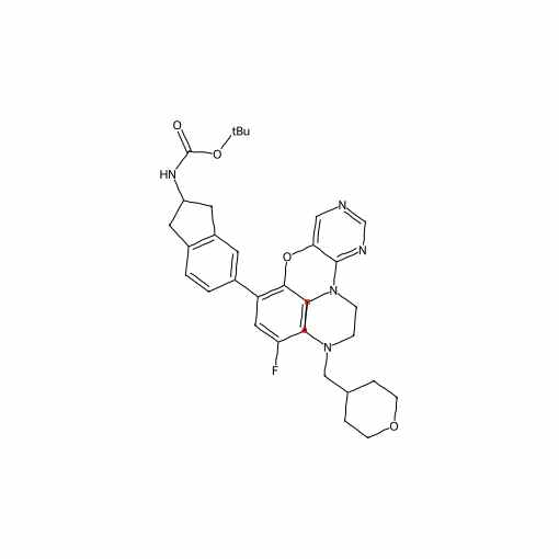 CC(C)(C)OC(=O)NC1Cc2ccc(-c3cc(F)ccc3Oc3cncnc3N3CCN(CC4CCOCC4)CC3)cc2C1